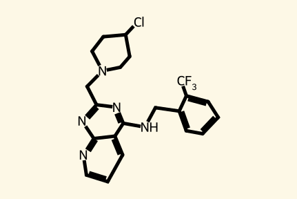 FC(F)(F)c1ccccc1CNc1nc(CN2CCC(Cl)CC2)nc2ncccc12